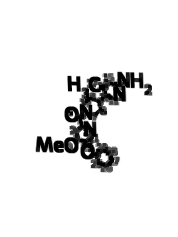 COc1cc(C(=O)N2CCC(c3cnc(N)cc3C)CC2)ncc1Oc1ccccc1